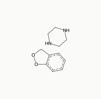 C1CNCCN1.c1ccc2c(c1)COO2